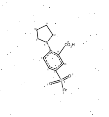 CC(C)S(=O)(=O)c1ccc(N2CCCC2)c(C(=O)O)c1